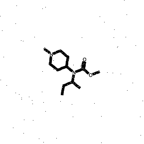 CCC(C)N(C(=O)OC)C1CCN(C)CC1